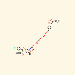 CCOC(=O)/C(O)=C/C(=O)c1ccc(COCCOCCOCCOCCOCCN(c2cc3oc(-c4ccc(F)cc4)c(C(=O)NC)c3cc2C2CC2)S(C)(=O)=O)cc1